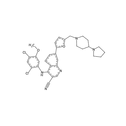 COc1cc(Nc2c(C#N)cnc3cc(-c4ccc(CN5CCC(N6CCCC6)CC5)o4)ccc23)c(Cl)cc1Cl